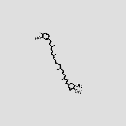 CC(/C=C/C=C(C)/C=C/c1ccc(C)c(O)c1)=C\C=C\C=C(C)\C=C\C=C(C)\C=C\c1ccc(O)c(O)c1